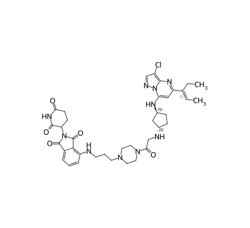 C/C=C(\CC)c1cc(N[C@H]2CC[C@H](NCC(=O)N3CCN(CCCNc4cccc5c4C(=O)N(C4CCC(=O)NC4=O)C5=O)CC3)C2)n2ncc(Cl)c2n1